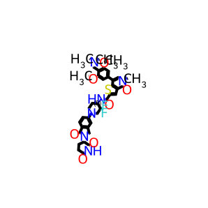 COc1cc(-c2cn(C)c(=O)c3cc(C(=O)N[C@@H]4CCN(c5ccc6c(c5)CN(C5CCC(=O)NC5=O)C6=O)CC4(F)F)sc23)cc(OC)c1CN(C)C